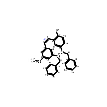 COc1cc(/C=C\c2cc(OCc3ccccc3)ccc2I)cc(OCc2ccccc2)c1